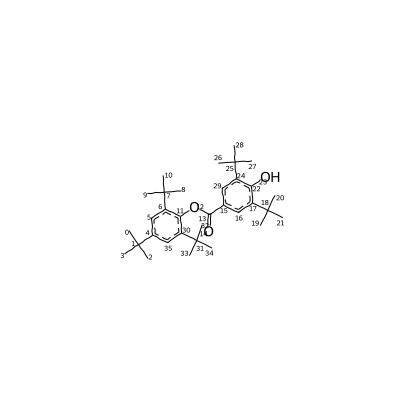 CC(C)(C)c1cc(C(C)(C)C)c(OC(=O)c2cc(C(C)(C)C)c(O)c(C(C)(C)C)c2)c(C(C)(C)C)c1